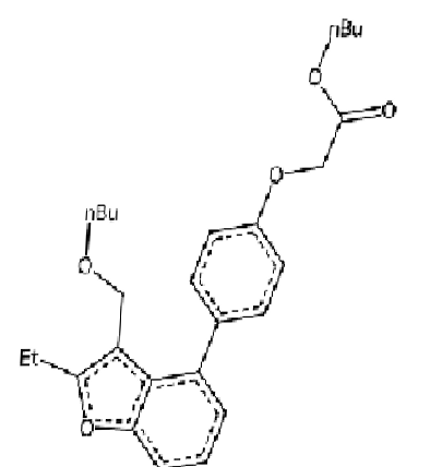 CCCCOCc1c(CC)oc2cccc(-c3ccc(OCC(=O)OCCCC)cc3)c12